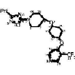 CC(C)c1noc(N2CCC(OC3CCC(Oc4ccncc4C(F)(F)F)CC3)CC2)n1